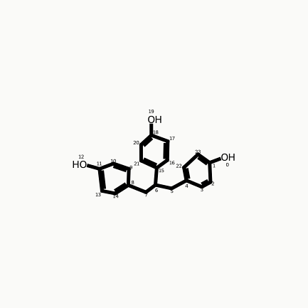 Oc1ccc(CC(Cc2ccc(O)cc2)c2ccc(O)cc2)cc1